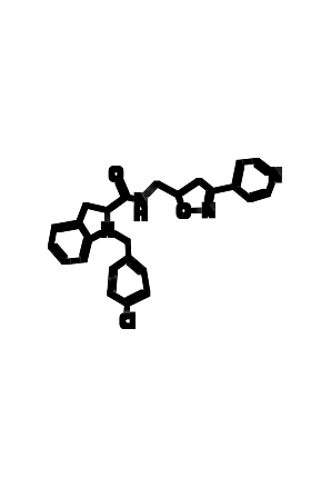 O=C(NCC1CC(c2ccncc2)=NO1)C1Cc2ccccc2N1Cc1ccc(Cl)cc1